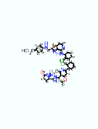 Cc1nc(-c2cccc(-c3cccc(Nc4nccc5sc(CNC67CCC(C(=O)O)(CC6)CC7)nc45)c3Cl)c2Cl)cc(OC(F)F)c1CNC[C@@H]1CCC(=O)N1